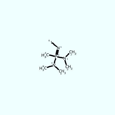 CN(C)P(C)(=NI)N(C)C